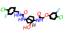 O=C(COc1ccc(Cl)c(F)c1)NC12CCC(NC(=O)NCc3ccc(Cl)c(F)c3)(CC1)C[C@@H]2O